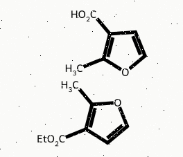 CCOC(=O)c1ccoc1C.Cc1occc1C(=O)O